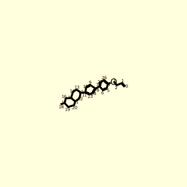 C=CCOc1ccc(-c2ccc(C3CCC4CC(C)CCC4C3)cc2)cc1